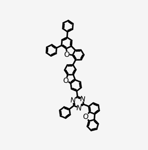 c1ccc(-c2cc(-c3ccccc3)c3oc4c(-c5ccc6oc7cc(-c8nc(-c9ccccc9)nc(-c9cccc%10c9oc9ccccc9%10)n8)ccc7c6c5)cccc4c3c2)cc1